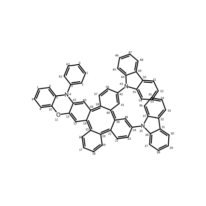 c1ccc(-n2c3ccccc3oc3cc4c5ccccc5c5ccc(-n6c7ccccc7c7ccccc76)cc5c5cc(-n6c7ccccc7c7ccccc76)ccc5c4cc32)cc1